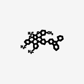 Cc1ccc2c(c1)B1c3cc(C)ccc3N3c4ccc(-c5ccc6c(c5)c5ccccc5n6-c5ccccc5)cc4B4c5cc(C)ccc5Oc5c(C)c(c1c3c54)O2